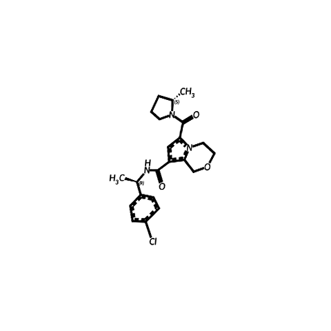 C[C@@H](NC(=O)c1cc(C(=O)N2CCC[C@@H]2C)n2c1COCC2)c1ccc(Cl)cc1